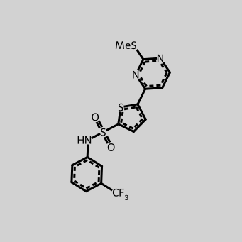 CSc1nccc(-c2ccc(S(=O)(=O)Nc3cccc(C(F)(F)F)c3)s2)n1